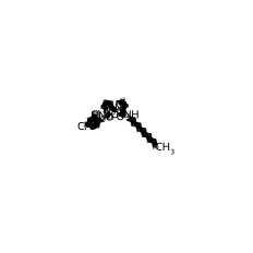 CCCCCCCCCCCCNC(=O)C1CCCN1C(=O)C1CCCN1C(=O)NCc1ccc(Cl)cc1Cl